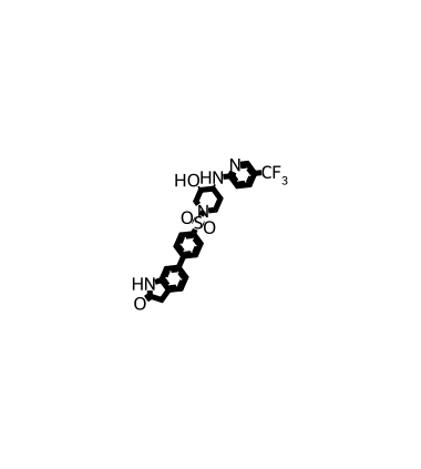 O=C1Cc2ccc(-c3ccc(S(=O)(=O)N4CC[C@@H](Nc5ccc(C(F)(F)F)cn5)[C@@H](O)C4)cc3)cc2N1